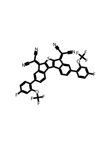 N#CC(C#N)=C1c2cc(-c3ccc(F)cc3OC(F)(F)F)ccc2-c2c1sc1c2-c2ccc(-c3ccc(F)cc3OC(F)(F)F)cc2C1=C(C#N)C#N